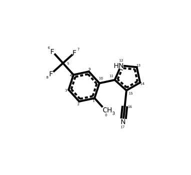 Cc1ccc(C(F)(F)F)cc1-c1[nH]ccc1C#N